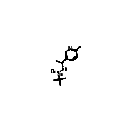 Cc1ccc(C(C)N[S@@+]([O-])C(C)(C)C)cn1